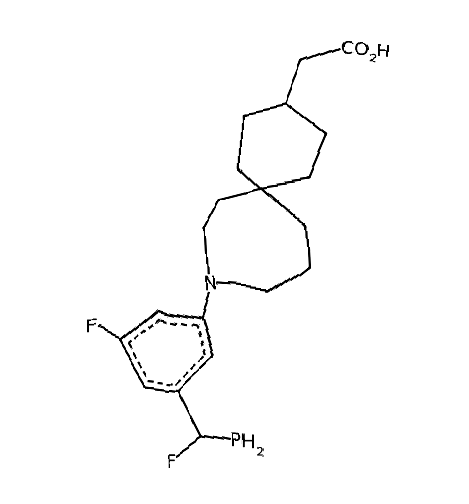 O=C(O)CC1CCC2(CCCN(c3cc(F)cc(C(F)P)c3)CC2)CC1